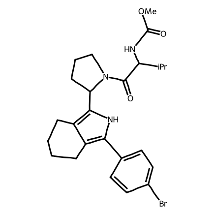 COC(=O)NC(C(=O)N1CCCC1c1[nH]c(-c2ccc(Br)cc2)c2c1CCCC2)C(C)C